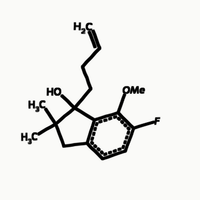 C=CCCC1(O)c2c(ccc(F)c2OC)CC1(C)C